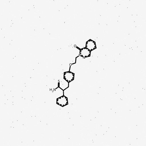 NC(=S)C(Cc1ccc(OCCn2ncc3ccccc3c2=O)cc1)c1ccccc1